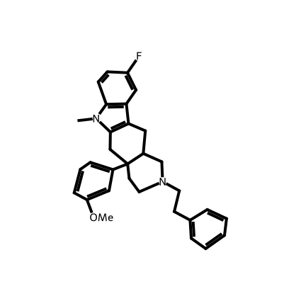 COc1cccc(C23CCN(CCc4ccccc4)CC2Cc2c(n(C)c4ccc(F)cc24)C3)c1